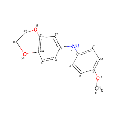 COc1ccc(Nc2ccc3c(c2)OCCO3)cc1